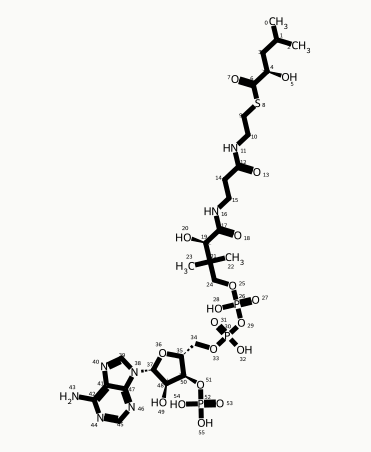 CC(C)C[C@@H](O)C(=O)SCCNC(=O)CCNC(=O)[C@H](O)C(C)(C)COP(=O)(O)OP(=O)(O)OC[C@H]1O[C@@H](n2cnc3c(N)ncnc32)[C@H](O)[C@@H]1OP(=O)(O)O